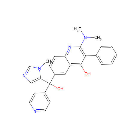 CN(C)c1nc2ccc(C(O)(c3ccncc3)c3cncn3C)cc2c(O)c1-c1ccccc1